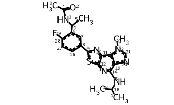 CC(=O)NC(C)c1cc(-c2nc3c(nc(NC(C)C)c4ncn(C)c43)s2)ccc1F